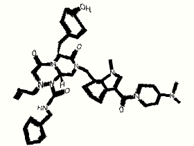 C=CCN1CC(=O)N2[C@@H](Cc3ccc(O)cc3)C(=O)N(Cc3cccc4c(C(=O)N5CCC(N(C)C)CC5)cn(C)c34)C[C@@H]2N1C(=O)NCc1ccccc1